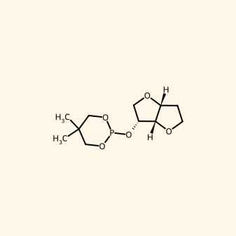 CC1(C)COP(O[C@@H]2CO[C@@H]3CCO[C@@H]32)OC1